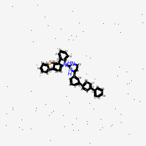 C1=C(c2cccc(-c3ccc(-c4ccccc4)cc3)c2)NC(n2c3ccccc3c3c4sc5ccccc5c4ccc32)NC1